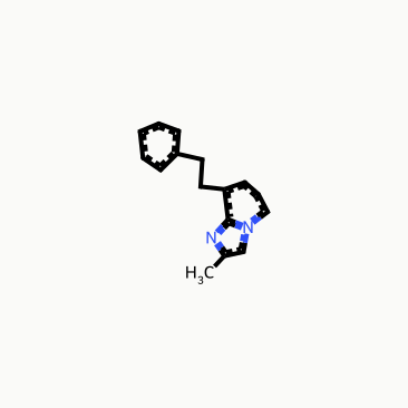 Cc1cn2cccc(CCc3ccccc3)c2n1